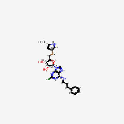 O=C(O)[C@@H]1C[C@H](SC[C@H]2O[C@@H](n3cnc4c(NCCCc5ccccc5)nc(Cl)nc43)[C@H](O)[C@@H]2O)CN1